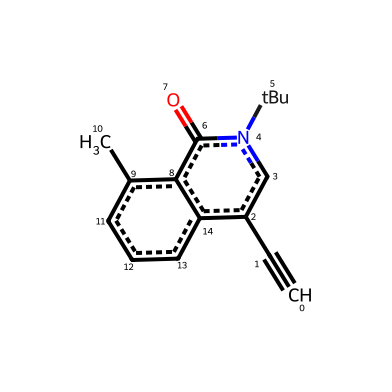 C#Cc1cn(C(C)(C)C)c(=O)c2c(C)cccc12